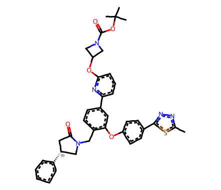 Cc1nnc(-c2ccc(Oc3cc(-c4cccc(OC5CN(C(=O)OC(C)(C)C)C5)n4)ccc3CN3C[C@H](c4ccccc4)CC3=O)cc2)s1